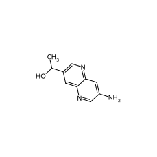 CC(O)c1cnc2cc(N)cnc2c1